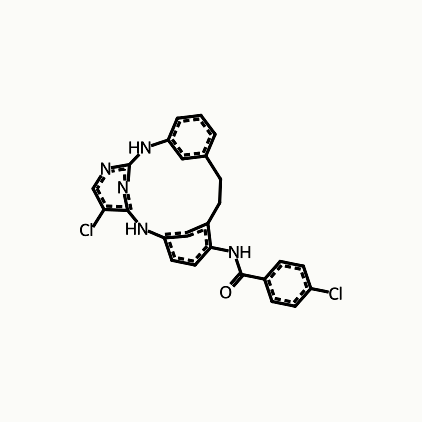 O=C(Nc1ccc2cc1CCc1cccc(c1)Nc1ncc(Cl)c(n1)N2)c1ccc(Cl)cc1